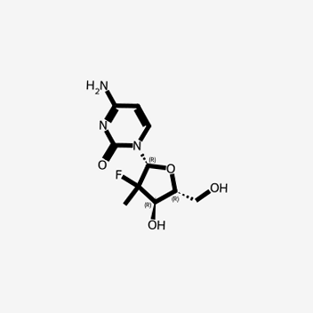 CC1(F)[C@H](O)[C@@H](CO)O[C@H]1n1ccc(N)nc1=O